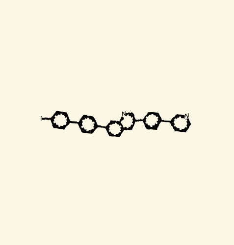 Ic1ccc(-c2ccc(-c3ccc4cc(-c5ccc(-c6cccnc6)cc5)cnc4c3)cc2)cc1